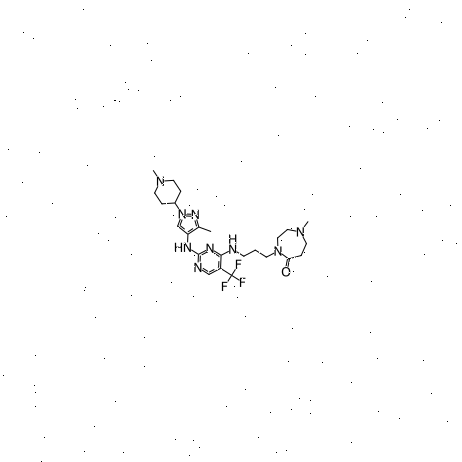 Cc1nn(C2CCN(C)CC2)cc1Nc1ncc(C(F)(F)F)c(NCCCN2CCN(C)CCC2=O)n1